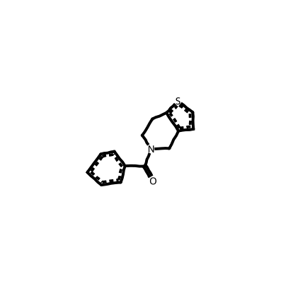 O=C(c1ccccc1)N1CCc2sccc2C1